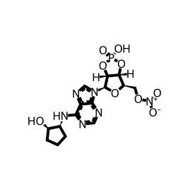 O=[N+]([O-])OC[C@H]1O[C@@H](n2cnc3c(N[C@@H]4CCC[C@H]4O)ncnc32)[C@@H]2OP(=O)(O)O[C@@H]21